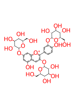 OC[C@H]1OC(Oc2cc(O)c3cc(OC4O[C@H](CO)[C@@H](O)[C@H](O)[C@H]4O)c(-c4ccc(O)c(OC5O[C@H](CO)[C@@H](O)[C@H](O)[C@H]5O)c4)[o+]c3c2)[C@H](O)[C@@H](O)[C@@H]1O